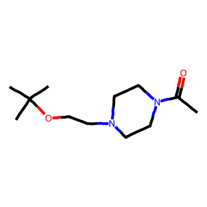 CC(=O)N1CCN(CCOC(C)(C)C)CC1